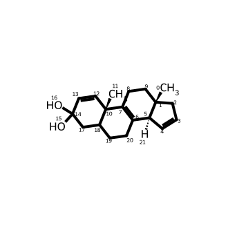 C[C@@]12CC=C[C@H]1C1=C(CC2)[C@@]2(C)C=CC(O)(O)CC2CC1